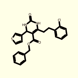 O=C1NC(CCc2ccccc2Cl)=C(C(=O)OCc2ccccc2)C(c2ccsc2)N1